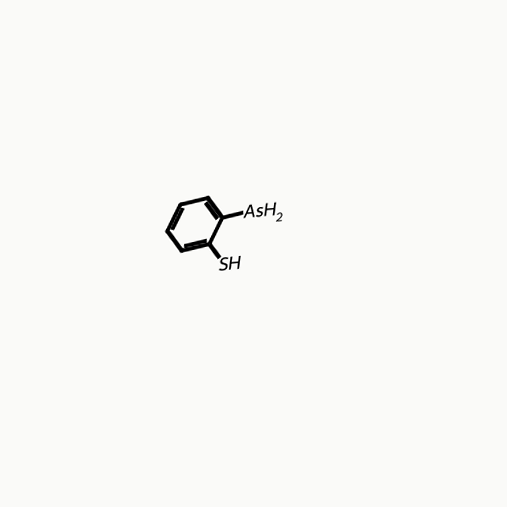 Sc1ccccc1[AsH2]